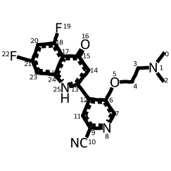 CN(C)CCOc1cnc(C#N)cc1-c1cc(=O)c2c(F)cc(F)cc2[nH]1